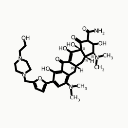 CN(C)c1cc(-c2ccc(CN3CCN(CCO)CC3)o2)c(O)c2c1C[C@H]1C[C@H]3[C@H](N(C)C)C(O)C(C(N)=O)C(=O)[C@@]3(O)C(O)=C1C2=O